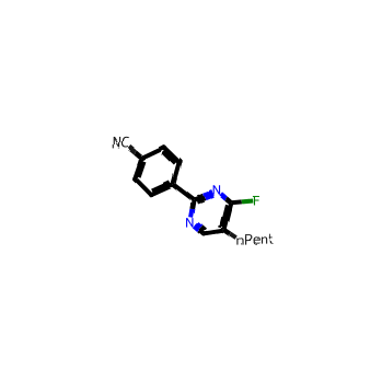 CCCCCc1cnc(-c2ccc(C#N)cc2)nc1F